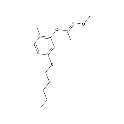 CCCCCSc1ccc(C)c(O/C(C)=C/OC)c1